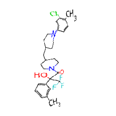 Cc1cccc(C(O)(C(=O)N2CCC(CC3CCN(c4ccc(C)c(Cl)c4)CC3)CC2)C(F)(F)F)c1